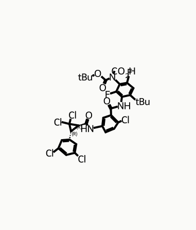 CC(C)(C)OC(=O)N(C(=O)O)c1c(F)cc(C(C)(C)C)c(NC(=O)c2cc(NC(=O)[C@H]3[C@H](c4cc(Cl)cc(Cl)c4)C3(Cl)Cl)ccc2Cl)c1F